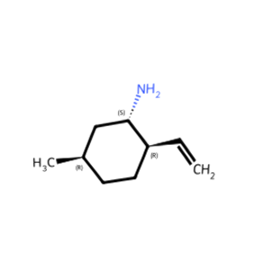 C=C[C@H]1CC[C@@H](C)C[C@@H]1N